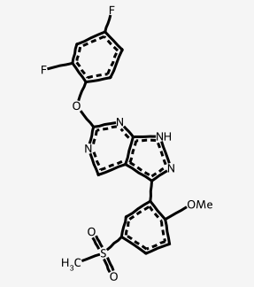 COc1ccc(S(C)(=O)=O)cc1-c1n[nH]c2nc(Oc3ccc(F)cc3F)ncc12